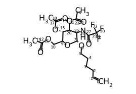 C=CCCCCO[C@@H]1OC(COC(C)=O)[C@H](OC(C)=O)C(OC(C)=O)C1NC(=O)C(F)(F)F